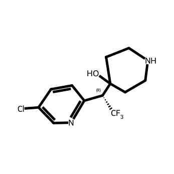 OC1([C@@H](c2ccc(Cl)cn2)C(F)(F)F)CCNCC1